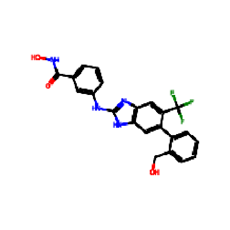 O=C(NO)c1cccc(Nc2nc3cc(C(F)(F)F)c(-c4ccccc4CO)cc3[nH]2)c1